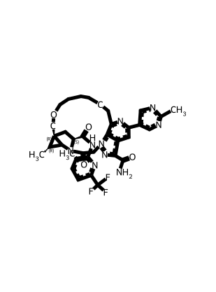 Cc1ncc(-c2cc3c(C(N)=O)nn4c3c(n2)CCCCCCOC[C@@]23C[C@@H](C(=O)Nc5nc(C(F)(F)F)ccc5C)N(C(=O)C4)C2[C@@H]3C)cn1